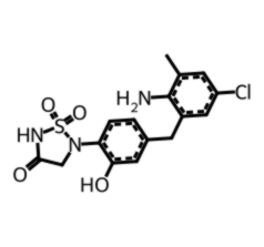 Cc1cc(Cl)cc(Cc2ccc(N3CC(=O)NS3(=O)=O)c(O)c2)c1N